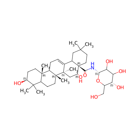 CC1(C)CC[C@@]2(C(=O)N[C@H]3OC(CO)[C@@H](O)C(O)C3O)C(C1)C1=CCC3[C@@]4(C)CC[C@H](O)C(C)(C)C4CC[C@@]3(C)[C@]1(C)C[C@H]2O